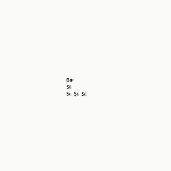 [Ba].[Si].[Si].[Si].[Si]